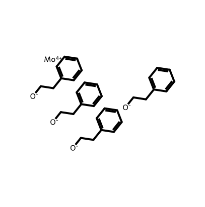 [Mo+4].[O-]CCc1ccccc1.[O-]CCc1ccccc1.[O-]CCc1ccccc1.[O-]CCc1ccccc1